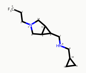 FC(F)(F)CCN1CC2C(CNCC3CC3)C2C1